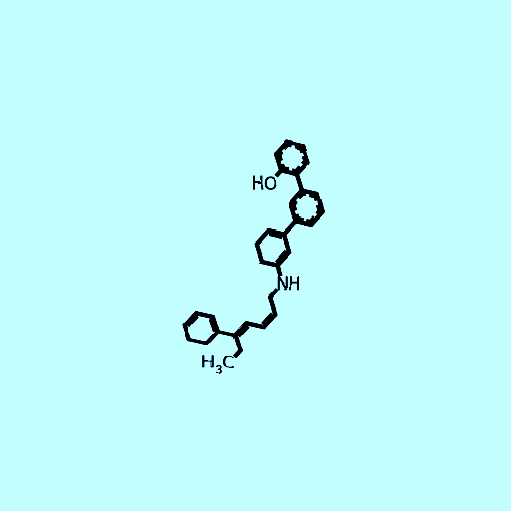 CC/C(=C\C=C/CNC1=CC(c2cccc(-c3ccccc3O)c2)=CCC1)C1=CC=CCC1